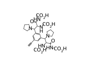 C#Cc1cc(C(C(NC(=O)O)C(=O)NC(=O)O)N2CCCC2)cc(C(C(NC(=O)O)C(=O)NC(=O)O)N2CCCC2)c1